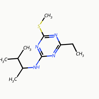 CCc1nc(NC(C)C(C)C)nc(SC)n1